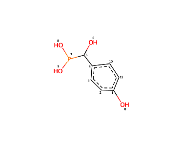 Oc1ccc(C(O)P(O)O)cc1